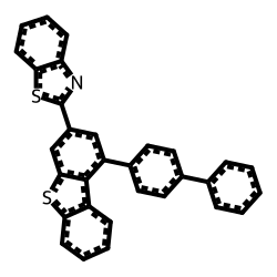 c1ccc(-c2ccc(-c3cc(-c4nc5ccccc5s4)cc4sc5ccccc5c34)cc2)cc1